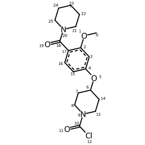 COc1cc(OC2CCN(C(=O)Cl)CC2)ccc1C(=O)N1CC[CH]CC1